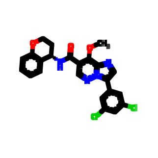 COc1c(C(=O)N[C@H]2CCOc3ccccc32)cnn2c(-c3cc(Cl)cc(Cl)c3)cnc12